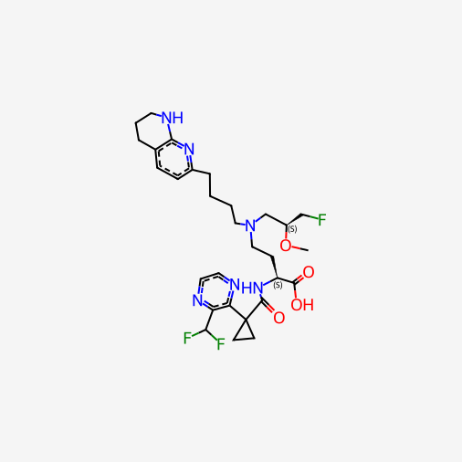 CO[C@H](CF)CN(CCCCc1ccc2c(n1)NCCC2)CC[C@H](NC(=O)C1(c2nccnc2C(F)F)CC1)C(=O)O